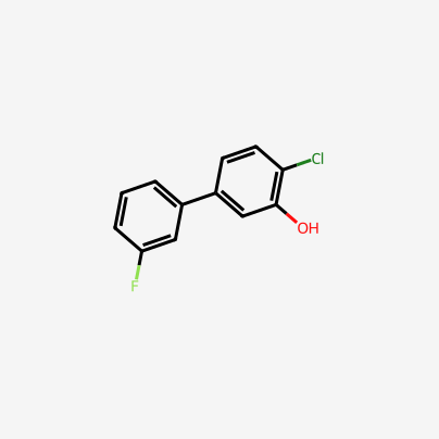 Oc1cc(-c2cccc(F)c2)ccc1Cl